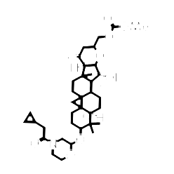 COC(=O)OCC1C[C@@H](C)[C@H]2C(O1)[C@H](O)[C@@]1(C)C3CC[C@H]4C(C)(C)C(OC5CN(C(=O)CC6CC6)CCO5)CCC45CC35CCC21C